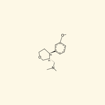 COc1cccc([C@@H]2CCOC[C@H]2CN(C)C)c1